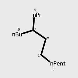 CCCCCCC[C](CCC)CCCC